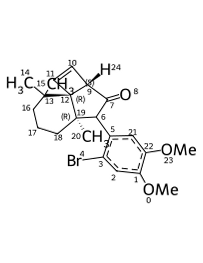 COc1cc(Br)c(C2C(=O)[C@H]3C=C[C@]34C(C)(C)CCC[C@]24C)cc1OC